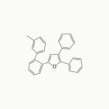 Cc1cccc(-c2ccccc2-c2cc(-c3ccccc3)c(-c3ccccc3)o2)c1